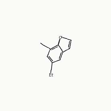 CCc1cc(C)c2occc2c1